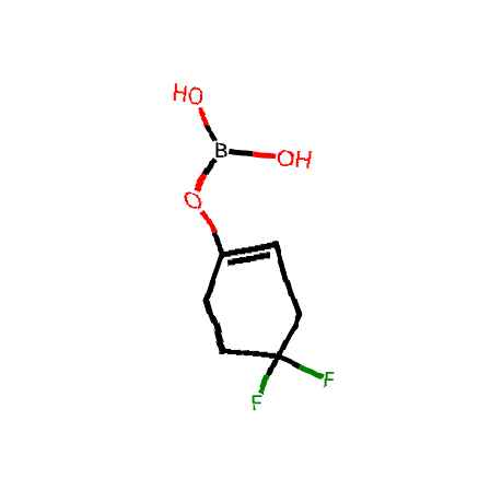 OB(O)OC1=CCC(F)(F)CC1